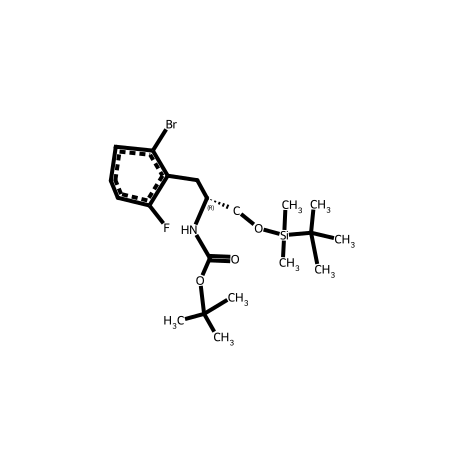 CC(C)(C)OC(=O)N[C@@H](CO[Si](C)(C)C(C)(C)C)Cc1c(F)cccc1Br